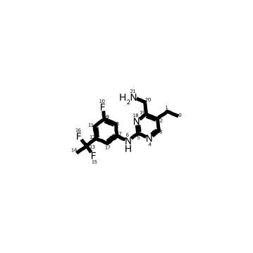 CCc1cnc(Nc2cc(F)cc(C(C)(F)F)c2)nc1CN